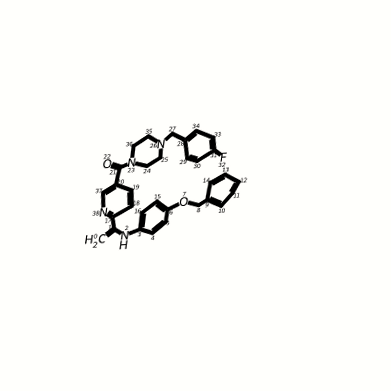 C=C(Nc1ccc(OCc2ccccc2)cc1)c1ccc(C(=O)N2CCN(Cc3ccc(F)cc3)CC2)cn1